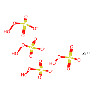 O=S(=O)([O-])OO.O=S(=O)([O-])OO.O=S(=O)([O-])OO.O=S(=O)([O-])OO.[Zr+4]